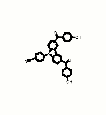 N#Cc1ccc(-n2c3ccc(C(=O)c4ccc(O)cc4)cc3c3cc(C(=O)c4ccc(O)cc4)ccc32)cc1